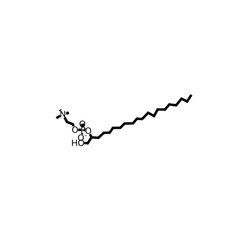 CCCCCCCCCCCCCCCCCCC(CO)OP(=O)([O-])OCC[N+](C)(C)C